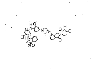 COc1cc(N2CCN(Cc3cccc4c3CN(C3CCC(=O)NC3=O)C4=O)CC2)ccc1Nc1ncc(Cl)c(Nc2ccccc2P(=O)(OC)OC)n1